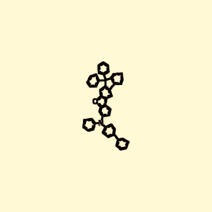 c1ccc(-c2ccc(N(c3ccccc3)c3ccc4c(c3)oc3cc5c(cc34)-c3ccccc3C5(c3ccccc3)c3ccccc3)cc2)cc1